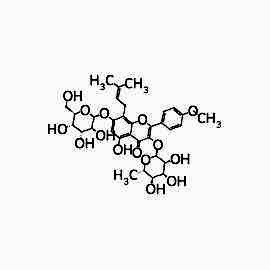 COc1ccc(-c2oc3c(CC=C(C)C)c(O[C@@H]4O[C@H](CO)[C@@H](O)[C@@H](O)[C@@H]4O)cc(O)c3c(=O)c2O[C@@H]2O[C@@H](C)[C@H](O)[C@H](O)[C@@H]2O)cc1